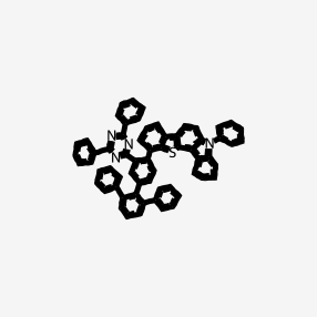 c1ccc(-c2nc(-c3ccccc3)nc(-c3cc(-c4c(-c5ccccc5)cccc4-c4ccccc4)ccc3-c3cccc4c3sc3c4ccc4c3c3ccccc3n4-c3ccccc3)n2)cc1